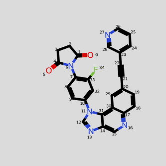 O=C1CCC(=O)N1c1ccc(-n2cnc3cnc4ccc(C#Cc5cccnc5)cc4c32)cc1F